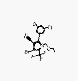 CCOCn1c(-c2cc(Cl)cc(Cl)c2)c(C#N)c(Br)c1C(F)(F)F